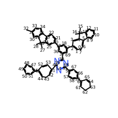 C\C=C(/C=C1\C(=C/C)c2ccccc2C1(C)C)c1cc(-c2ccc3c(c2)C(C)(C)c2cc(C)ccc2-3)cc(-c2nc(C3=CCC=C(c4ccccc4)C=C3)nc(-c3ccc(C4=CCCC=C4)cc3)n2)c1